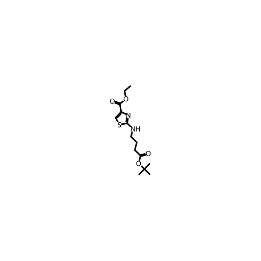 CCOC(=O)c1csc(NCCCC(=O)OC(C)(C)C)n1